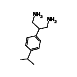 CC(C)c1ccc(C(CN)CN)cc1